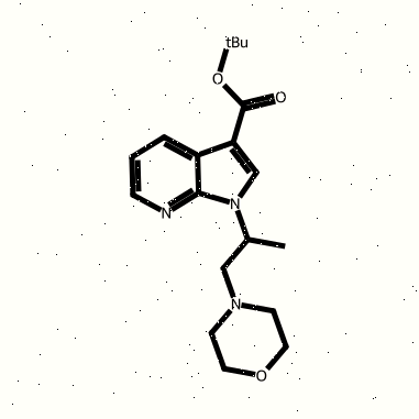 CC(CN1CCOCC1)n1cc(C(=O)OC(C)(C)C)c2cccnc21